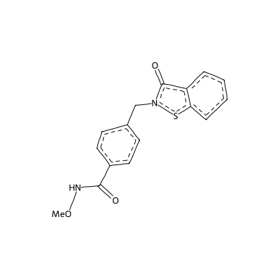 CONC(=O)c1ccc(Cn2sc3ccccc3c2=O)cc1